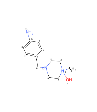 C[N+]1(O)CCN(Cc2ccc(N)cc2)CC1